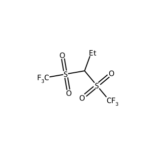 [CH2]CC(S(=O)(=O)C(F)(F)F)S(=O)(=O)C(F)(F)F